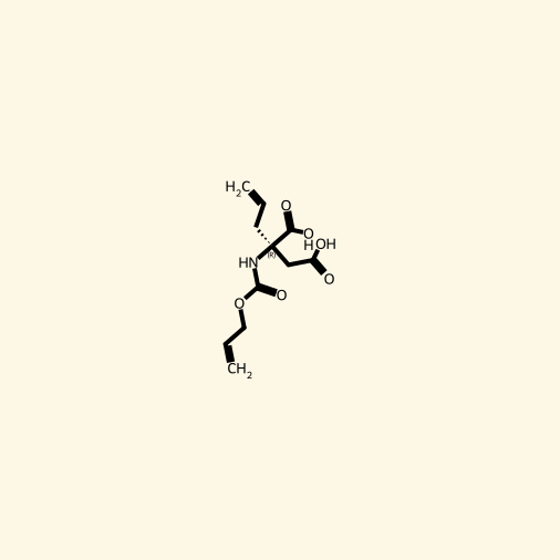 C=CCOC(=O)N[C@](CC=C)(CC(=O)O)C(=O)O